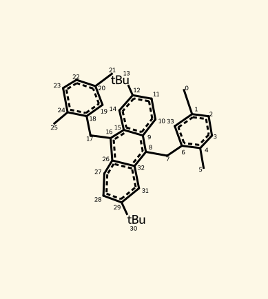 Cc1ccc(C)c(Cc2c3ccc(C(C)(C)C)cc3c(Cc3cc(C)ccc3C)c3ccc(C(C)(C)C)cc23)c1